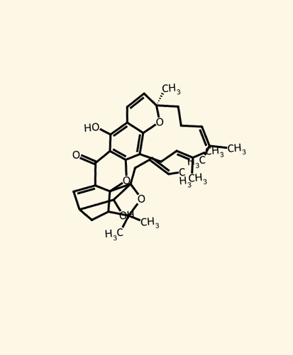 C/C=C/CC12OC(C)(C)C3CC(C=C4C(=O)c5c(O)c6c(c(CC=C(C)C)c5OC431)O[C@](C)(CCC=C(C)C)C=C6)C2O